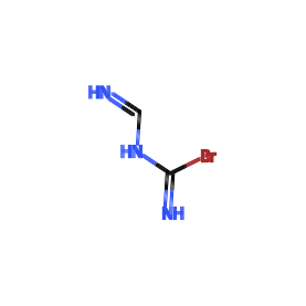 N=CNC(=N)Br